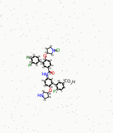 O=C(O)c1ccc(F)c(-c2cc(NC(=O)c3ccc(OC4CCN(Cl)C4)c(-c4ccc(F)c(F)c4)c3)ccc2OC2CCNC2)c1